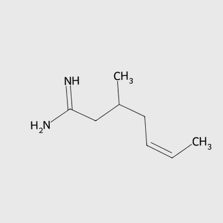 C/C=C\CC(C)CC(=N)N